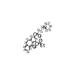 CCC(=O)Oc1cc(OC(=O)CCCN2CCCCC2)cc2ccc3ccccc3c(=O)c12